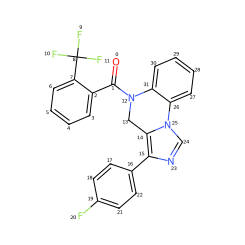 O=C(c1ccccc1C(F)(F)F)N1Cc2c(-c3ccc(F)cc3)ncn2-c2ccccc21